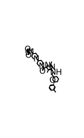 Cc1cccc([C@@H]2CCCC(CNc3nc(C)nc(C(=O)N4CCC(N5CCC(N(C)S(C)(=O)=O)CC5)CC4)c3C)O2)c1